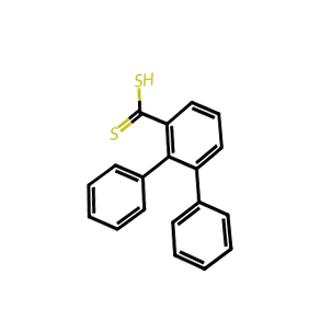 S=C(S)c1cccc(-c2ccccc2)c1-c1ccccc1